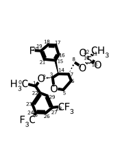 CC(O[C@H]1OCC[C@@H](COS(C)(=O)=O)[C@@H]1c1cccc(F)c1)c1cc(C(F)(F)F)cc(C(F)(F)F)c1